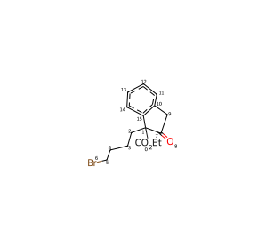 CCOC(=O)C1(CCCCBr)C(=O)Cc2ccccc21